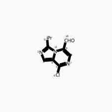 CC(C)c1ncc2c(Cl)ncc(C=O)n12